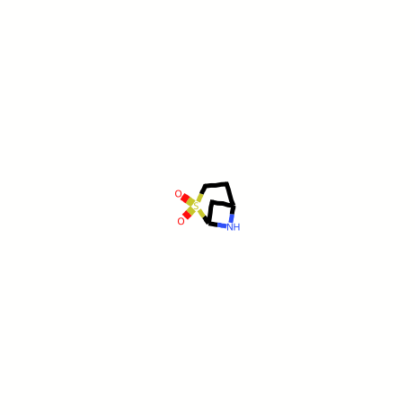 O=S1(=O)CCC2CC1N2